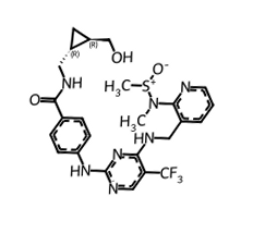 CN(c1ncccc1CNc1nc(Nc2ccc(C(=O)NC[C@@H]3C[C@H]3CO)cc2)ncc1C(F)(F)F)[S+](C)[O-]